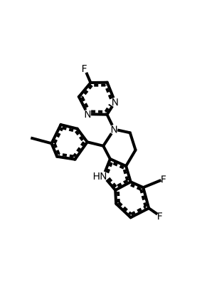 Cc1ccc(C2c3[nH]c4ccc(F)c(F)c4c3CCN2c2ncc(F)cn2)cc1